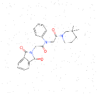 CC1(C)CCCN(C(=O)CN(C(=O)CN2C(=O)c3ccccc3C2=O)c2ccccc2)C1